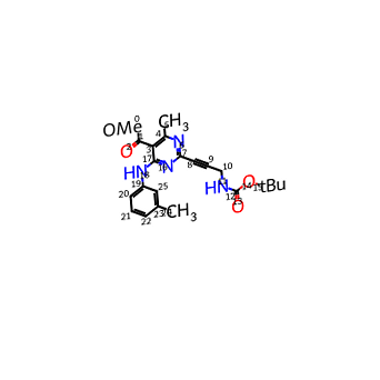 COC(=O)c1c(C)nc(C#CCNC(=O)OC(C)(C)C)nc1Nc1cccc(C)c1